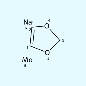 C1=COCO1.[Mo].[Na]